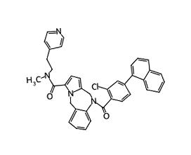 CN(CCc1ccncc1)C(=O)c1ccc2n1Cc1ccccc1N(C(=O)c1ccc(-c3cccc4ccccc34)cc1Cl)C2